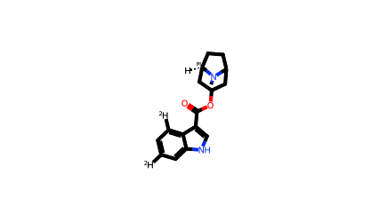 [2H]c1cc([2H])c2c(C(=O)OC3CC4CC[C@H](C3)N4C)c[nH]c2c1